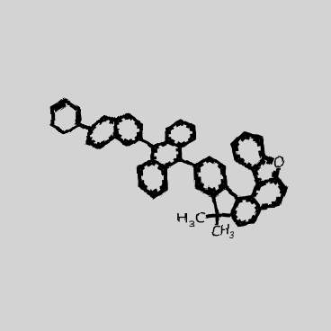 CC1(C)c2cc(-c3c4ccccc4c(-c4ccc5cc(C6=CC=CCC6)ccc5c4)c4ccccc34)ccc2-c2c1ccc1ccc3oc4ccccc4c3c21